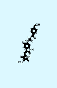 Cc1[nH]c(/C=C2\C(=O)Nc3cc(NC(=O)NC(=O)c4ccc(CO)cc4)c(F)cc32)c(C)c1C(=O)O